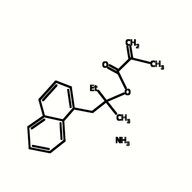 C=C(C)C(=O)OC(C)(CC)Cc1cccc2ccccc12.N